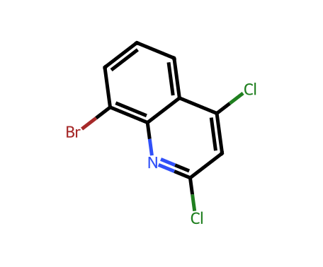 Clc1cc(Cl)c2cccc(Br)c2n1